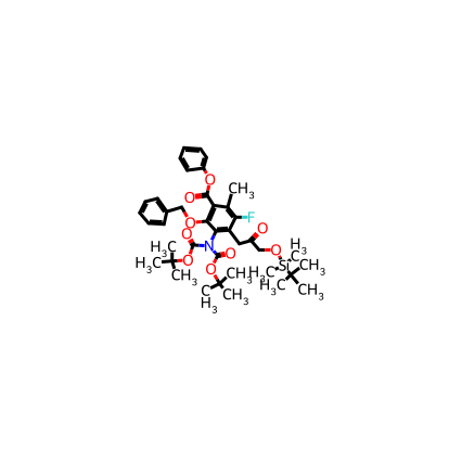 Cc1c(F)c(CC(=O)CO[Si](C)(C)C(C)(C)C)c(N(C(=O)OC(C)(C)C)C(=O)OC(C)(C)C)c(OCc2ccccc2)c1C(=O)Oc1ccccc1